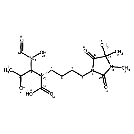 CC(C)C([C@H](CCCCN1C(=O)N(C)C(C)(C)C1=O)C(=O)O)N(O)C=O